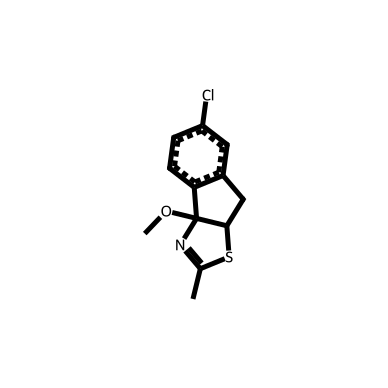 COC12N=C(C)SC1Cc1cc(Cl)ccc12